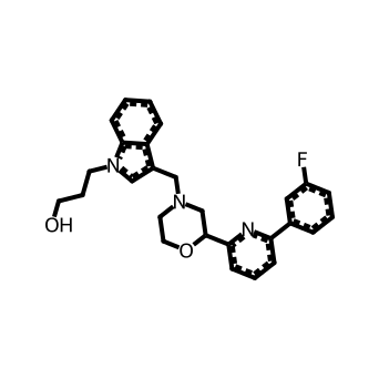 OCCCn1cc(CN2CCOC(c3cccc(-c4cccc(F)c4)n3)C2)c2ccccc21